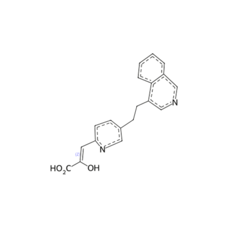 O=C(O)/C(O)=C/c1ccc(CCc2cncc3ccccc23)cn1